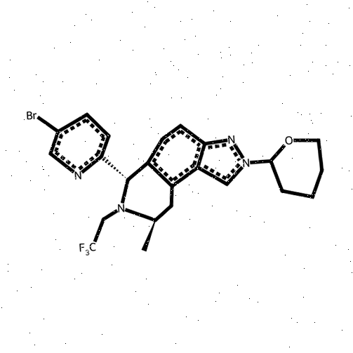 C[C@@H]1Cc2c(ccc3nn(C4CCCCO4)cc23)[C@@H](c2ccc(Br)cn2)N1CC(F)(F)F